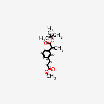 COC(=O)CCc1cccc([C@H](C)C(=O)OC(C)(C)C)c1